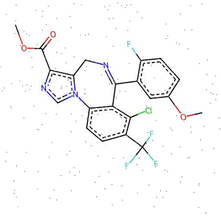 COC(=O)c1ncn2c1CN=C(c1cc(OC)ccc1F)c1c-2ccc(C(F)(F)F)c1Cl